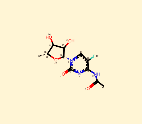 CC(=O)Nc1nc(=O)n([C@@H]2O[C@H](C)C(O)C2O)cc1F